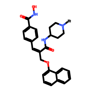 CCN1CCC(NC(=O)C(=Cc2ccc(C(=O)NO)cc2)COc2cccc3ccccc23)CC1